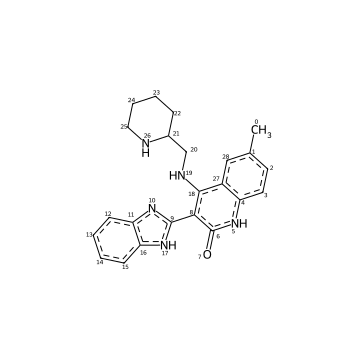 Cc1ccc2[nH]c(=O)c(-c3nc4ccccc4[nH]3)c(NCC3CCCCN3)c2c1